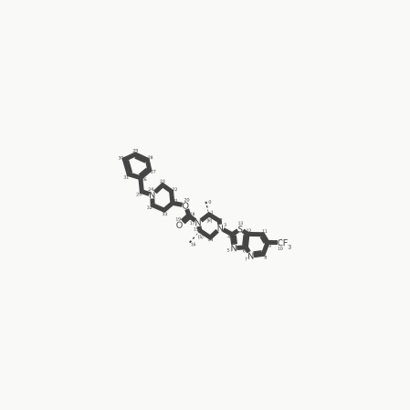 C[C@@H]1CN(c2nc3ncc(C(F)(F)F)cc3s2)C[C@H](C)N1C(=O)OC1CCN(Cc2ccccc2)CC1